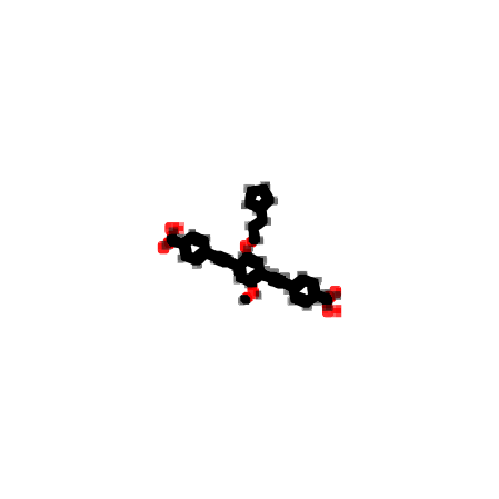 COc1cc(C#Cc2ccc(C(=O)O)cc2)c(OCCCC2CCCC2)cc1C#Cc1ccc(C(=O)O)cc1